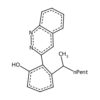 CCCCCC(C)c1cccc(O)c1-c1cc2ccccc2nn1